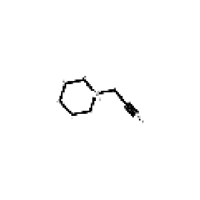 N#CCN1[CH]CCCC1